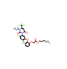 CCCCOC(=O)COc1ccccc1Oc1cc(-n2c(=O)cc(C(F)(F)F)n(C)c2=O)c(F)cc1Cl